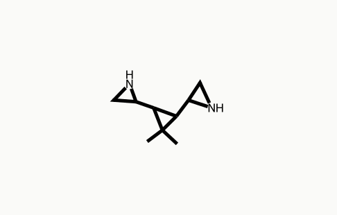 CC1(C)C(C2CN2)C1C1CN1